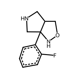 Fc1ccccc1C12CNCC1CON2